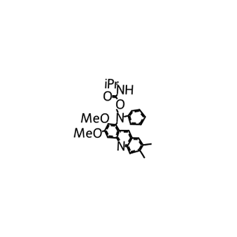 COc1cc2nc3cc(C)c(C)cc3cc2c(N(COC(=O)NC(C)C)c2ccccc2)c1OC